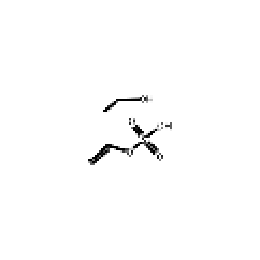 C=COS(=O)(=O)O.CCO